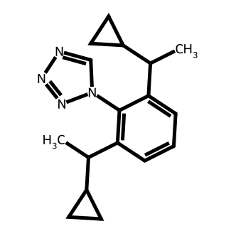 CC(c1cccc(C(C)C2CC2)c1-n1cnnn1)C1CC1